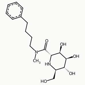 CN(CCCCc1ccccc1)C(=O)[C@H]1N[C@H](CO)[C@@H](O)[C@H](O)[C@@H]1O